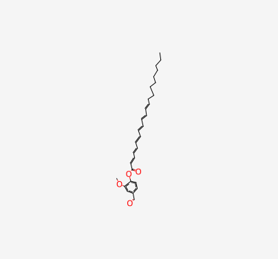 CCCCCCCCCC=CC=CC=CC=CC=CC=CC(=O)Oc1ccc(C=O)cc1OC